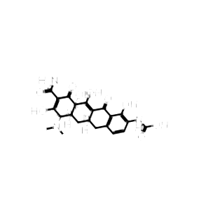 CN(C)[C@@H]1C(O)=C(C(N)=O)C(=O)[C@@]2(O)C(O)=C3C(=O)c4c(ccc(NC(=O)O)c4O)C[C@H]3C[C@@H]12